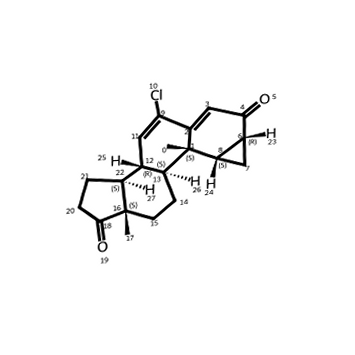 C[C@@]12C(=CC(=O)[C@@H]3C[C@@H]31)C(Cl)=C[C@@H]1[C@@H]2CC[C@]2(C)C(=O)CC[C@@H]12